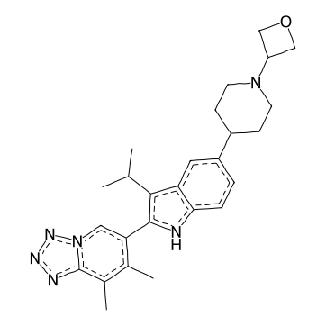 Cc1c(-c2[nH]c3ccc(C4CCN(C5COC5)CC4)cc3c2C(C)C)cn2nnnc2c1C